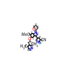 COc1cc2c(cc1OCCc1c(C)cnnc1C)c(-c1cnc(F)c(C#N)c1)nn2C1CCCCO1